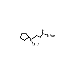 CNNCCN(C=O)C1CCCC1